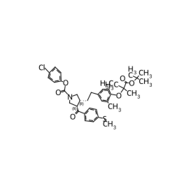 CSc1ccc(C(=O)[C@H]2CN(C(=O)Oc3ccc(Cl)cc3)C[C@@H]2CCc2cc(C)c(OC(C)(C)C(=O)OC(C)(C)C)c(C)c2)cc1